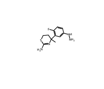 CC1(c2cc(NN)ccc2F)CCSC(N)=N1